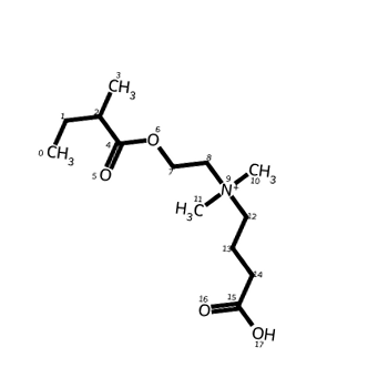 CCC(C)C(=O)OCC[N+](C)(C)CCCC(=O)O